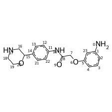 Nc1cccc(OCC(=O)Nc2ccc(C3CNCCO3)cc2)c1